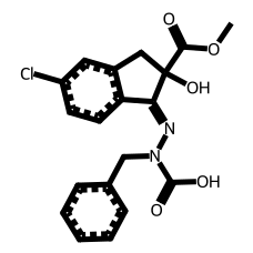 COC(=O)C1(O)Cc2cc(Cl)ccc2/C1=N\N(Cc1ccccc1)C(=O)O